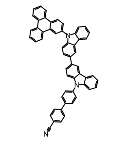 N#Cc1ccc(-c2ccc(-n3c4ccccc4c4cc(-c5ccc6c(c5)c5ccccc5n6-c5ccc6c7ccccc7c7ccccc7c6c5)ccc43)cc2)cc1